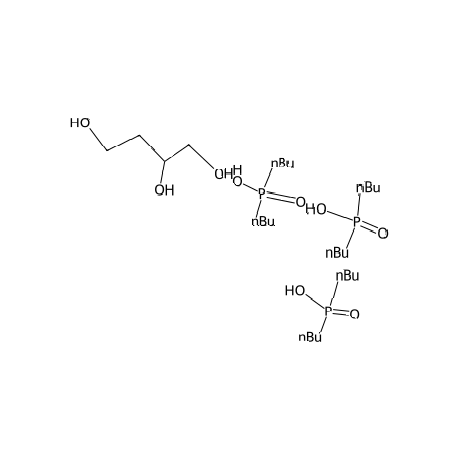 CCCCP(=O)(O)CCCC.CCCCP(=O)(O)CCCC.CCCCP(=O)(O)CCCC.OCCC(O)CO